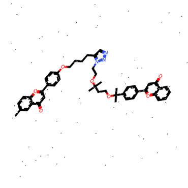 Cc1ccc2oc(-c3ccc(OCCCCc4cnnn4CCOC(C)(C)CCOC(C)(C)c4ccc(-c5cc(=O)c6ccccc6o5)cc4)cc3)cc(=O)c2c1